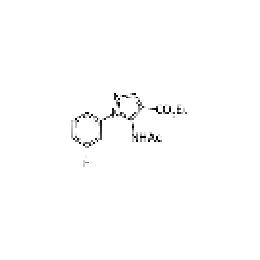 CCOC(=O)c1cnn(-c2cccc(F)c2)c1NC(C)=O